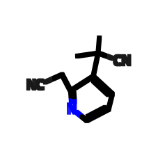 CC(C)(C#N)c1cccnc1CC#N